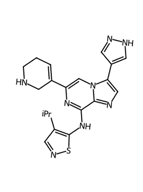 CC(C)c1cnsc1Nc1nc(C2=CCCNC2)cn2c(-c3cn[nH]c3)cnc12